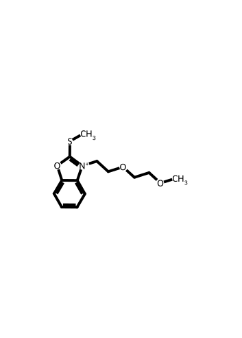 COCCOCC[n+]1c(SC)oc2ccccc21